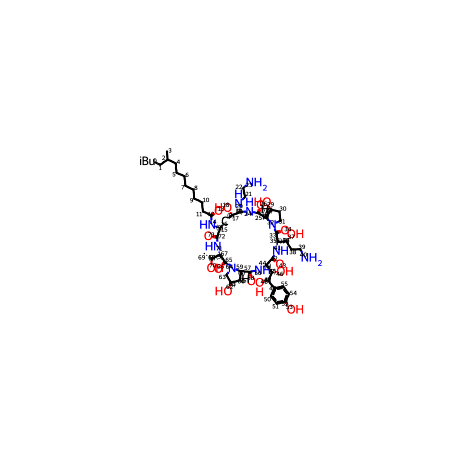 CCC(C)CC(C)CCCCCCCCC(=O)N[C@H]1C[C@@H](O)[C@H](NCCN)NC(=O)[C@@H]2[C@@H](O)CCN2C(=O)[C@H]([C@H](O)CCN)NC(=O)[C@H]([C@H](O)[C@@H](O)c2ccc(O)cc2)NC(=O)[C@@H]2C[C@@H](O)CN2C(=O)[C@H]([C@@H](C)O)NC1=O